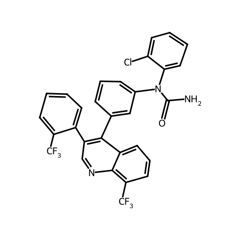 NC(=O)N(c1cccc(-c2c(-c3ccccc3C(F)(F)F)cnc3c(C(F)(F)F)cccc23)c1)c1ccccc1Cl